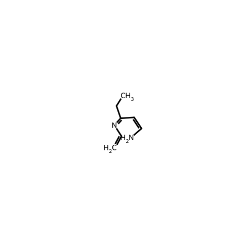 C=C/N=C(\C=C/N)CC